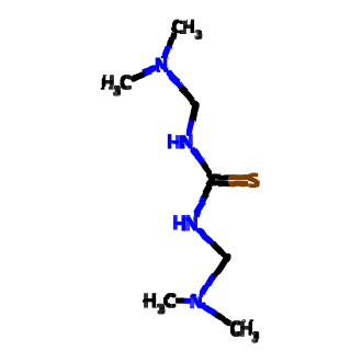 CN(C)CNC(=S)NCN(C)C